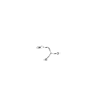 O=CCB(O)O